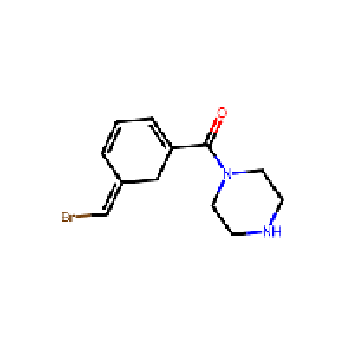 O=C(C1=CC=C/C(=C\Br)C1)N1CCNCC1